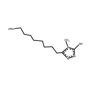 CCCCCCCCCCCCCCCCCc1nnc(S)n1C